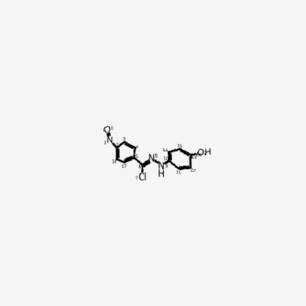 O=Nc1ccc(/C(Cl)=N/Nc2ccc(O)cc2)cc1